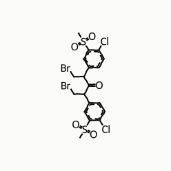 CS(=O)(=O)c1cc(C(CBr)C(=O)C(CBr)c2ccc(Cl)c(S(C)(=O)=O)c2)ccc1Cl